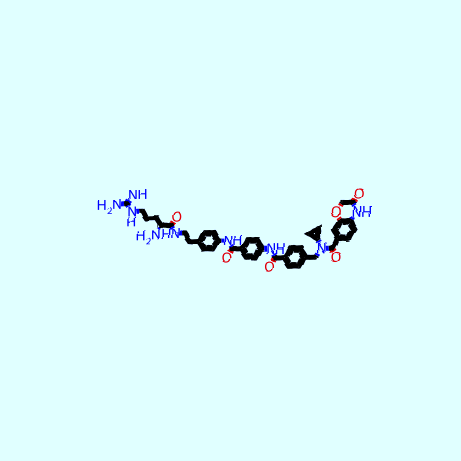 N=C(N)NCCC[C@H](N)C(=O)NCCc1ccc(NC(=O)c2ccc(NC(=O)c3ccc(CN(C(=O)c4ccc5c(c4)OCC(=O)N5)C4CC4)cc3)cc2)cc1